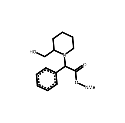 CNOC(=O)C(c1ccccc1)N1CCCCC1CO